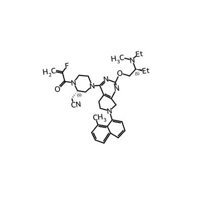 C=C(F)C(=O)N1CCN(c2nc(OC[C@H](CC)N(C)CC)nc3c2CCN(c2cccc4cccc(C)c24)C3)C[C@@H]1CC#N